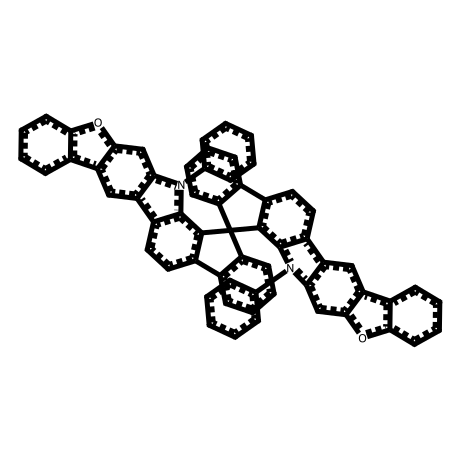 c1ccc(-n2c3cc4oc5ccccc5c4cc3c3ccc4c(c32)C2(c3ccccc3-4)c3ccccc3-c3ccc4c5cc6c(cc5n(-c5ccccc5)c4c32)oc2ccccc26)cc1